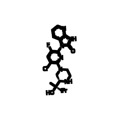 CC(C)[C@@](C)(O)[C@@H]1CN(c2nc(-n3c(=O)[nH]c4ncccc43)c(F)cc2Cl)CCN1